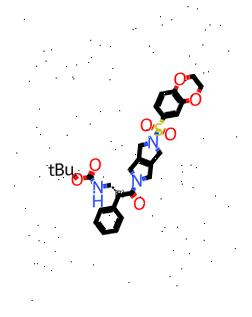 CC(C)(C)OC(=O)NC[C@H](C(=O)N1CC2=C(C1)CN(S(=O)(=O)c1ccc3c(c1)OCCO3)C2)c1ccccc1